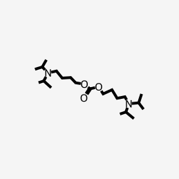 CC(C)N(CCCCOC(=O)OCCCCN(C(C)C)C(C)C)C(C)C